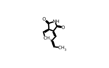 C\C=C/C=C1/C(=O)NC(=O)/C1=C/C